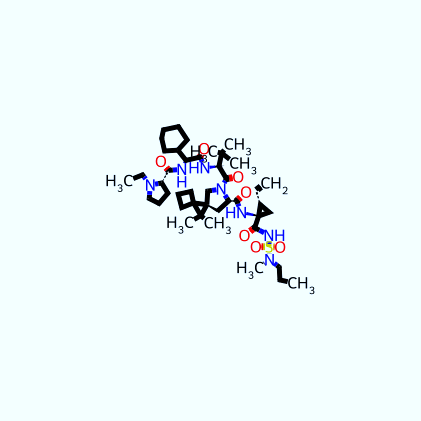 C=C[C@@H]1C[C@]1(NC(=O)[C@@H]1C[C@@]2(CN1C(=O)[C@@H](NC(=O)[C@@H](NC(=O)[C@@H]1CCCN1CC)C1CCCCC1)C(C)(C)C)C(C)(C)C21CCC1)C(=O)NS(=O)(=O)N(C)CCC